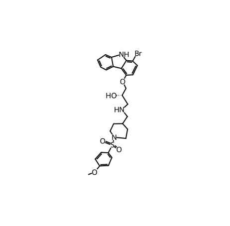 COc1ccc(S(=O)(=O)N2CCC(CNC[C@H](O)COc3ccc(Br)c4[nH]c5ccccc5c34)CC2)cc1